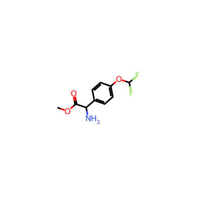 COC(=O)C(N)c1ccc(OC(F)F)cc1